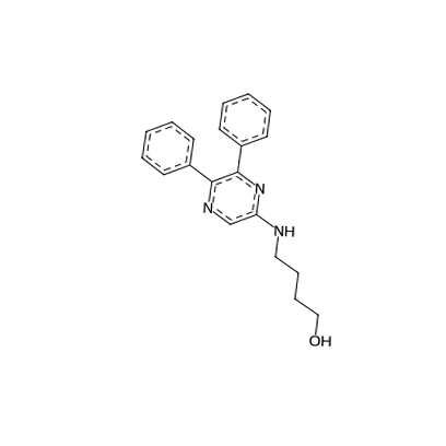 OCCCCNc1cnc(-c2ccccc2)c(-c2ccccc2)n1